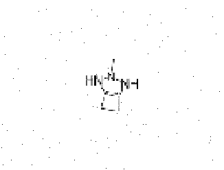 CN1NC2=C(CC2)N1